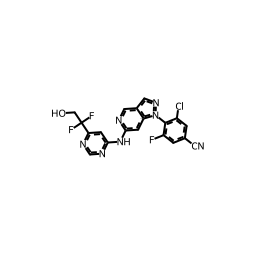 N#Cc1cc(F)c(-n2ncc3cnc(Nc4cc(C(F)(F)CO)ncn4)cc32)c(Cl)c1